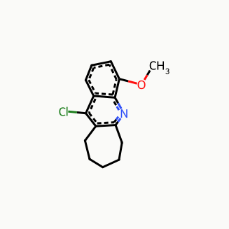 COc1cccc2c(Cl)c3c(nc12)CCCCC3